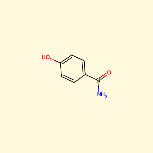 N[Si](=O)c1ccc(O)cc1